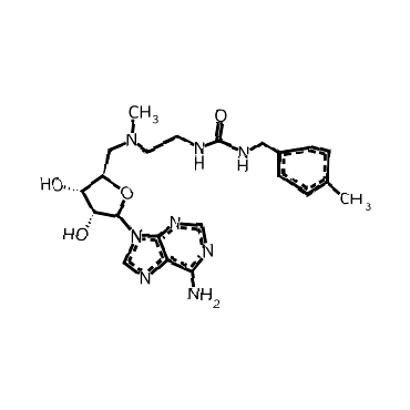 Cc1ccc(CNC(=O)NCCN(C)C[C@H]2OC(n3cnc4c(N)ncnc43)[C@H](O)[C@@H]2O)cc1